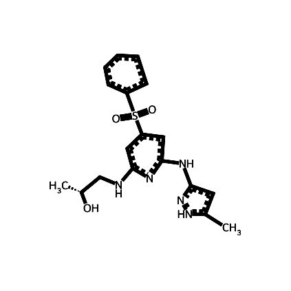 Cc1cc(Nc2cc(S(=O)(=O)c3ccccc3)cc(NC[C@@H](C)O)n2)n[nH]1